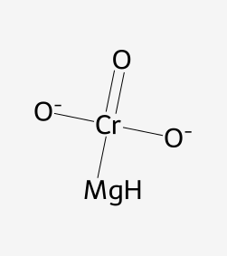 [O]=[Cr]([O-])([O-])[MgH]